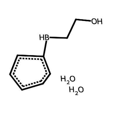 O.O.OCCBc1ccccc1